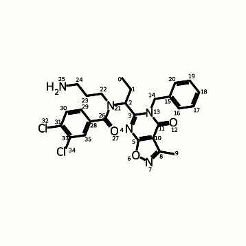 CCC(c1nc2onc(C)c2c(=O)n1Cc1ccccc1)N(CCCN)C(=O)c1ccc(Cl)c(Cl)c1